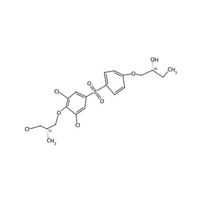 CC[C@@H](O)COc1ccc(S(=O)(=O)c2cc(Cl)c(OC[C@H](C)CCl)c(Cl)c2)cc1